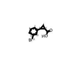 O=C(O)C1CC1c1cccc(Br)c1